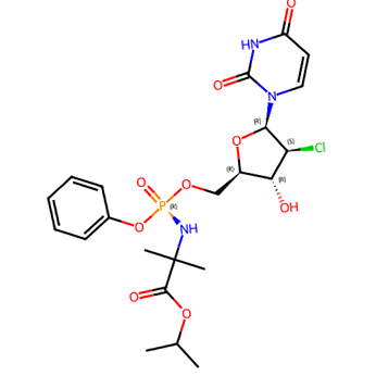 CC(C)OC(=O)C(C)(C)N[P@@](=O)(OC[C@H]1O[C@@H](n2ccc(=O)[nH]c2=O)[C@@H](Cl)[C@@H]1O)Oc1ccccc1